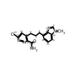 Cn1cnc2c(CCCc3cc(Cl)nnc3C(N)=O)cccc21